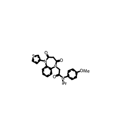 COc1ccc(N(C(=O)CN2C(=O)CC(=O)N(c3ccsc3)c3ccccc32)C(C)C)cc1